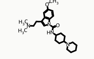 COc1ccc2c(c1)c(CCN(C)C)cn2C(=O)NC1CCC(N2CCCCC2)CC1